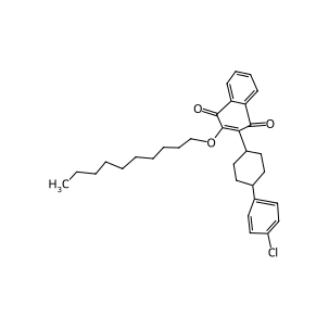 CCCCCCCCCCOC1=C(C2CCC(c3ccc(Cl)cc3)CC2)C(=O)c2ccccc2C1=O